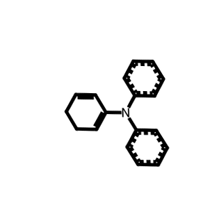 C1=CC(N(c2ccccc2)c2ccccc2)=CCC1